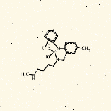 CNCCCCN1Cc2cc(C)ccc2N(c2ccccc2Cl)S1(O)O